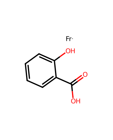 O=C(O)c1ccccc1O.[Fr]